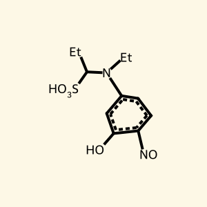 CCC(N(CC)c1ccc(N=O)c(O)c1)S(=O)(=O)O